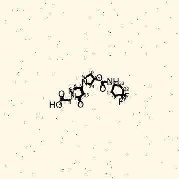 O=C(O)Cn1ncc(N2CCC(OC(=O)NC3CCC(F)(F)CC3)C2)cc1=O